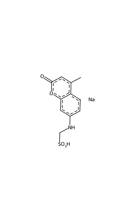 Cc1cc(=O)oc2cc(NCS(=O)(=O)O)ccc12.[Na]